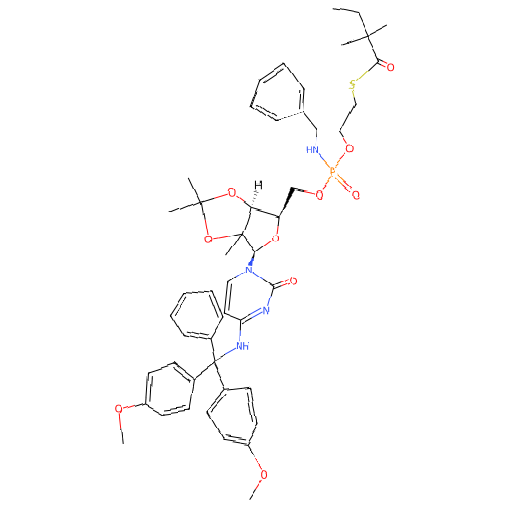 CCC(C)(C)C(=O)SCCOP(=O)(NCc1ccccc1)OC[C@H]1O[C@@H](n2ccc(NC(c3ccccc3)(c3ccc(OC)cc3)c3ccc(OC)cc3)nc2=O)C2(C)OC(C)(C)O[C@@H]12